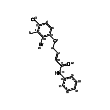 Cc1c(Cl)ccc(OC/C=C/C(=O)Nc2ccccc2)c1Br